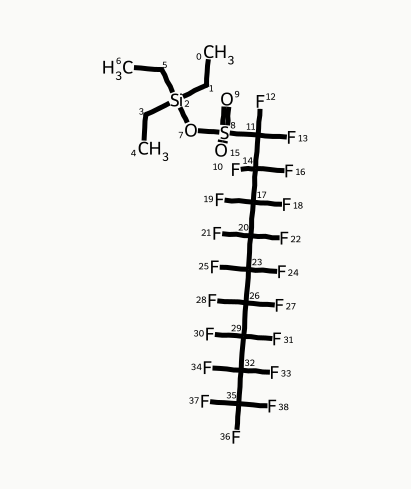 CC[Si](CC)(CC)OS(=O)(=O)C(F)(F)C(F)(F)C(F)(F)C(F)(F)C(F)(F)C(F)(F)C(F)(F)C(F)(F)C(F)(F)F